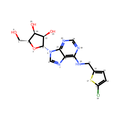 OC[C@H]1O[C@@H](n2cnc3c(NCc4ccc(Cl)s4)ncnc32)[C@H](O)[C@@H]1O